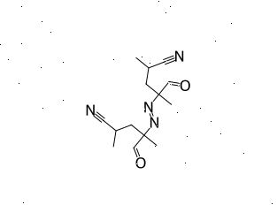 CC(C#N)CC(C)(C=O)N=NC(C)(C=O)CC(C)C#N